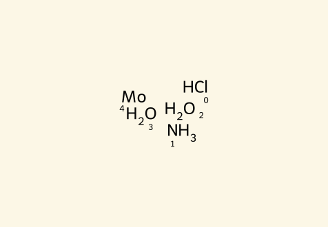 Cl.N.O.O.[Mo]